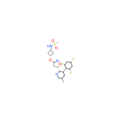 Cc1cnc([C@@H]2CC(O[C@H]3C[C@H](NS(C)(=O)=O)C3)=NO2)c(-c2c(F)cc(F)cc2F)c1